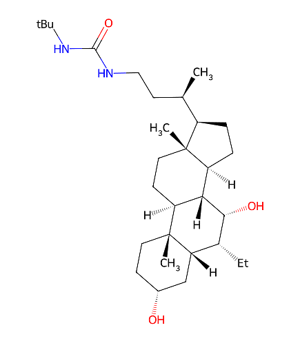 CC[C@H]1[C@@H](O)[C@@H]2[C@H](CC[C@]3(C)[C@@H]([C@H](C)CCNC(=O)NC(C)(C)C)CC[C@@H]23)[C@@]2(C)CC[C@@H](O)C[C@@H]12